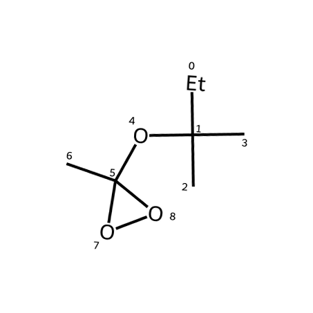 CCC(C)(C)OC1(C)OO1